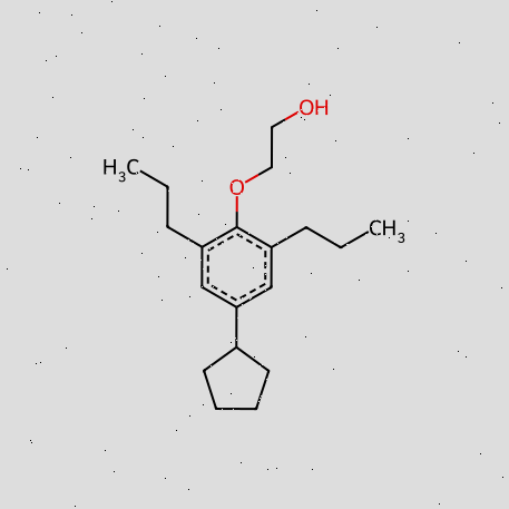 CCCc1cc(C2CCCC2)cc(CCC)c1OCCO